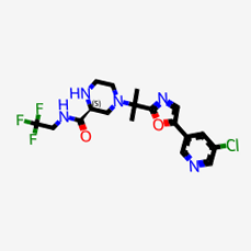 CC(C)(c1ncc(-c2cncc(Cl)c2)o1)N1CCN[C@H](C(=O)NCC(F)(F)F)C1